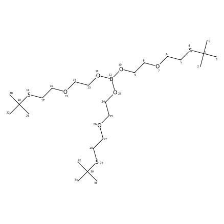 CC(C)(C)SCCOCCOB(OCCOCCSC(C)(C)C)OCCOCCSC(C)(C)C